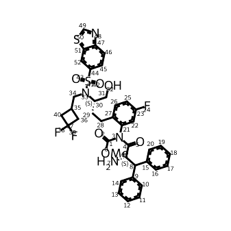 COC(=O)N(C(=O)[C@@H](N)C(c1ccccc1)c1ccccc1)c1cc(F)ccc1CC[C@@H](CO)N(CC1CC(F)(F)C1)S(=O)(=O)c1ccc2ncsc2c1